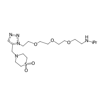 CC(C)NCCOCCOCCOCCn1nncc1CN1CCS(=O)(=O)CC1